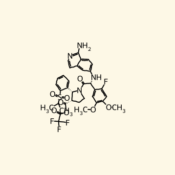 COc1cc(F)c([C@@H](Nc2ccc3c(N)nccc3c2)C(=O)N2CC[C@H](C(=O)OC(=O)C(F)(F)F)[C@@H]2c2ccccc2S(=O)(=O)C(C)C)cc1OC